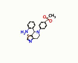 CS(=O)(=O)c1ccc(N2CCc3ncsc3C2c2ccccc2N)cc1